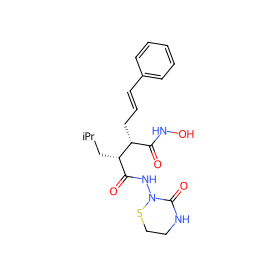 CC(C)C[C@@H](C(=O)NN1SCCNC1=O)[C@H](C/C=C/c1ccccc1)C(=O)NO